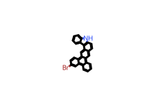 Brc1ccc2c(c1)c1ccccc1c1cc3ccc4[nH]c5ccccc5c4c3cc21